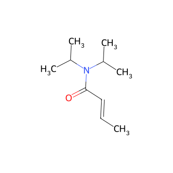 CC=CC(=O)N(C(C)C)C(C)C